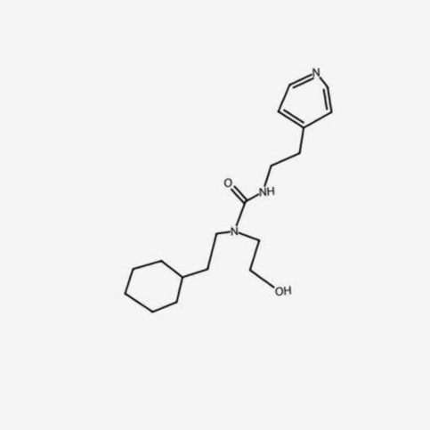 O=C(NCCc1ccncc1)N(CCO)CCC1CCCCC1